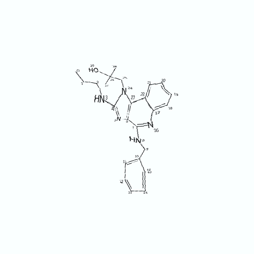 CCCNc1nc2c(NCc3ccccc3)nc3ccccc3c2n1CC(C)(C)O